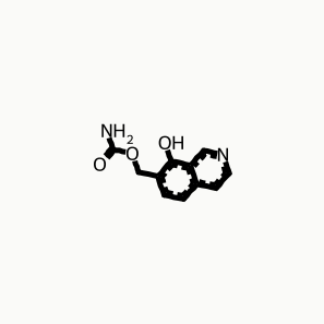 NC(=O)OCc1ccc2ccncc2c1O